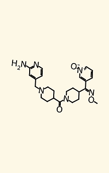 CON=C(c1ccc[n+]([O-])c1)C1CCN(C(=O)C2CCN(Cc3ccnc(N)c3)CC2)CC1